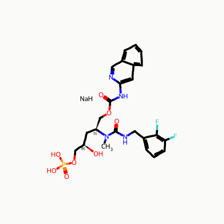 CN(C(=O)NCc1cccc(F)c1F)[C@H](COC(=O)Nc1cc2ccccc2cn1)C[C@@H](O)COP(=O)(O)O.[NaH]